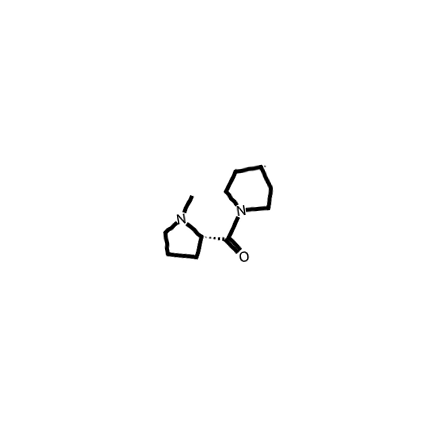 CN1CCC[C@H]1C(=O)N1CC[CH]CC1